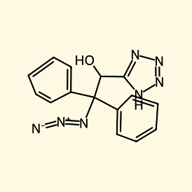 [N-]=[N+]=NC(c1ccccc1)(c1ccccc1)C(O)c1nnn[nH]1